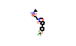 O=C1c2cc(-c3ccc(OC(F)(F)F)cc3)ccc2OCCN1CCCS(=O)(=O)NC1CC1